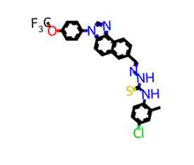 Cc1cc(Cl)ccc1NC(=S)NN=Cc1ccc2c(ccc3c2ncn3-c2ccc(OC(F)(F)F)cc2)c1